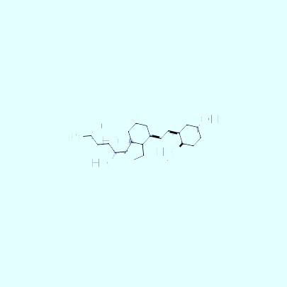 C=C1CC[C@H](O)C/C1=C/C=C1CCC[C@@]2(C)C1CC[C@@H]2[C@H](C)CC[C@H](CC)C(C)C